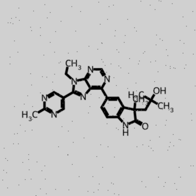 CCn1c(-c2cnc(C)nc2)nc2c(-c3ccc4c(c3)C(C)(CC(C)(C)O)C(=O)N4)ncnc21